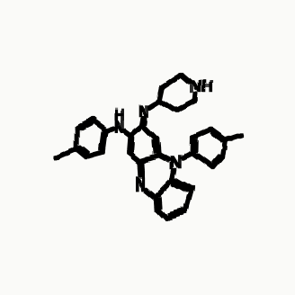 Cc1ccc(Nc2cc3nc4ccccc4n(-c4ccc(C)cc4)c-3c/c2=N\C2CCNCC2)cc1